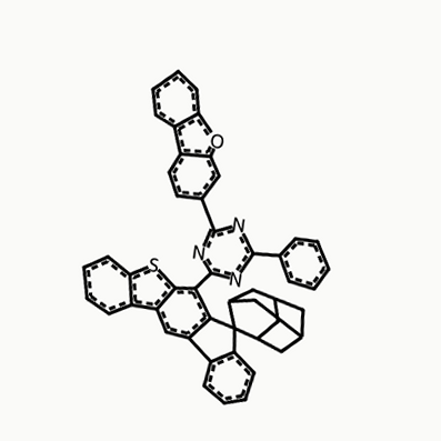 c1ccc(-c2nc(-c3ccc4c(c3)oc3ccccc34)nc(-c3c4c(cc5c3sc3ccccc35)-c3ccccc3C43C4CC5CC(C4)CC3C5)n2)cc1